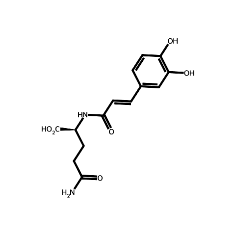 NC(=O)CC[C@H](NC(=O)/C=C/c1ccc(O)c(O)c1)C(=O)O